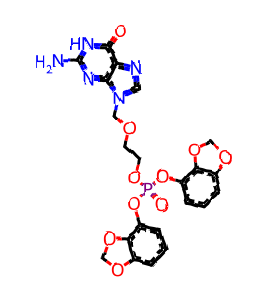 Nc1nc2c(ncn2COCCOP(=O)(Oc2cccc3c2OCO3)Oc2cccc3c2OCO3)c(=O)[nH]1